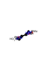 COC(=O)N[C@H](C(=O)N1CCCC1c1nc2cc(C#Cc3ccc4[nH]c([C@@H]5CCCN5C(=O)C(C(C)C)N(C)C(=O)O)nc4c3)ccc2[nH]1)C(C)C